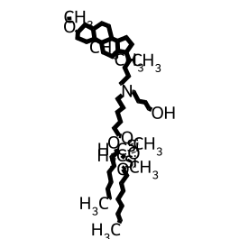 CCCCCCCCOC(CCCCCN(CCCCO)CCC[C@@H](C)C1CCC2C3CCC4C[C@H](OC)CC[C@]4(C)C3CC[C@@]21C)O[Si](C)(C)O[Si](C)(C)OCCCCCCCC